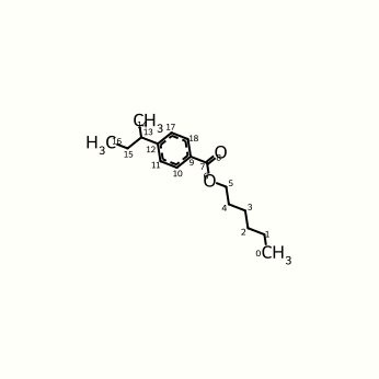 CCCCCCOC(=O)c1ccc(C(C)CC)cc1